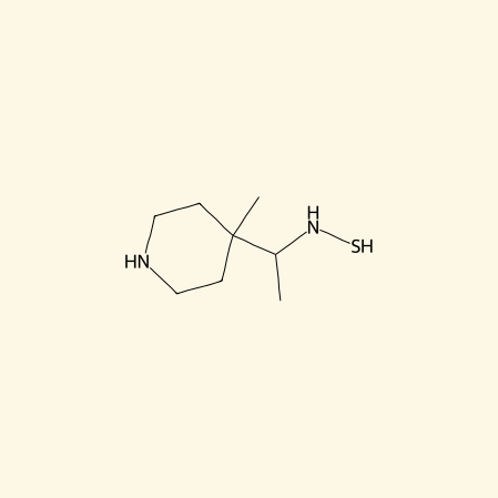 CC(NS)C1(C)CCNCC1